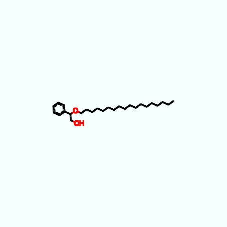 CCCCCCCCCCCCCCCCCCOC(CO)c1ccccc1